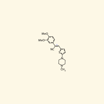 COc1ccc(/C(C#N)=C/c2ccc(N3CCN(C)CC3)s2)cc1OC